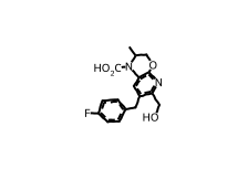 CC1COc2nc(CO)c(Cc3ccc(F)cc3)cc2N1C(=O)O